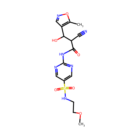 COCCNS(=O)(=O)c1cnc(NC(=O)C(C#N)C(O)c2cnoc2C)nc1